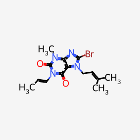 CC=Cn1c(=O)c2c(nc(Br)n2CC=C(C)C)n(C)c1=O